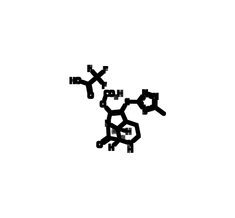 Cc1nnc(SC2=C(OC(=O)O)N3C(=O)[C@H]4NCCC2[C@H]43)s1.O=C(O)C(F)(F)F